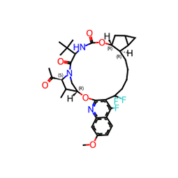 COc1ccc2c(F)c3c(nc2c1)O[C@H]1CN(C(=O)C(C(C)(C)C)NC(=O)O[C@@H]2CC4CC4[C@H]2CCCCC3(F)F)[C@H](C(C)=O)C1C